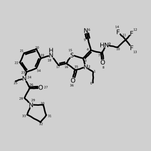 CCn1c(=C(C#N)C(=O)NCC(F)(F)F)sc(=CNc2cccc(N(C)C(=O)CN3CCCC3)c2)c1=O